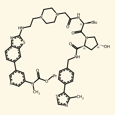 Cc1ncsc1-c1ccc(CNC(=O)[C@@H]2C[C@@H](O)CN2C(=O)[C@@H](NC(=O)CN2CCN(CCNc3nc4ccc(-c5cncc(N(C)C(=O)OC(C)C)c5)cc4s3)CC2)C(C)(C)C)cc1